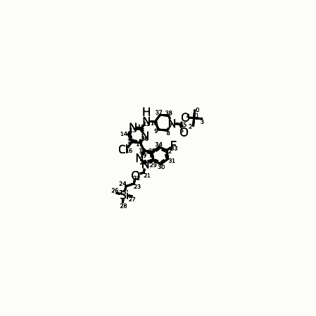 CC(C)(C)OC(=O)N1CCC(Nc2ncc(Cl)c(-c3nn(COCC[Si](C)(C)C)c4ccc(F)cc34)n2)CC1